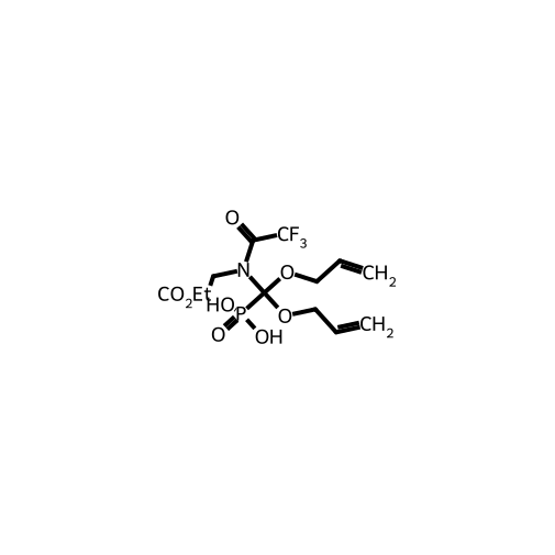 C=CCOC(OCC=C)(N(CC(=O)OCC)C(=O)C(F)(F)F)P(=O)(O)O